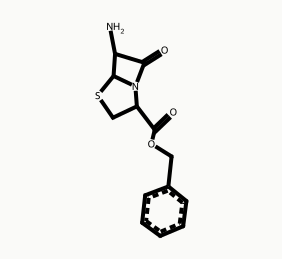 NC1C(=O)N2C(C(=O)OCc3ccccc3)CSC12